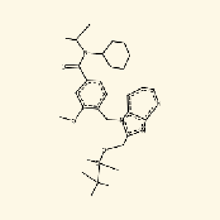 COc1cc(C(=O)N(C(C)C)C2CCCCC2)ccc1Cn1c(CO[Si](C)(C)C(C)(C)C)nc2ncccc21